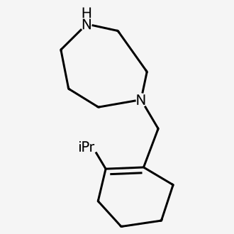 CC(C)C1=C(CN2CCCNCC2)CCCC1